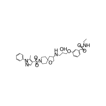 CCNS(=O)(=O)c1cccc(OC[C@@H](O)CNC2COC3(CCN(S(=O)(=O)c4cnn(-c5ccccc5)c4C)CC3)C2)c1